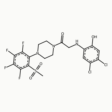 CS(=O)(=O)c1c(F)c(F)c(F)c(F)c1N1CCN(C(=O)CNc2cc(Cl)c(Cl)cc2O)CC1